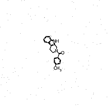 Cc1ccc(C(=O)N2CCc3c([nH]c4ccccc34)C2)cc1